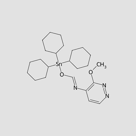 COc1nnccc1/N=C/[O][Sn]([CH]1CCCCC1)([CH]1CCCCC1)[CH]1CCCCC1